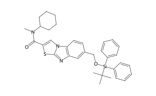 CN(C(=O)c1cn2c(nc3cc(CO[Si](c4ccccc4)(c4ccccc4)C(C)(C)C)ccc32)s1)C1CCCCC1